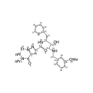 CCCN(CCC)C(=O)c1cc(C(=O)N[C@@H](Cc2ccccc2)[C@H](O)CNCc2cccc(OC)c2)nn1CC